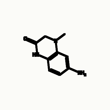 CN1CC(=O)Nc2ccc(N)cc21